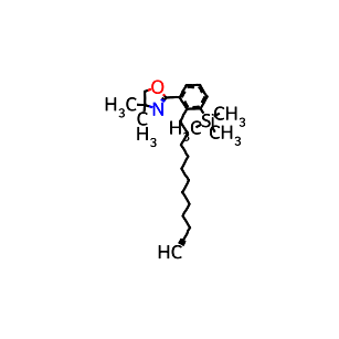 C#CCCCCCCCCCCc1c(C2=NC(C)(C)CO2)cccc1[Si](C)(C)C